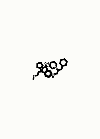 CNCC(CC1CCCCC1)N1CCC[C@@H](C(O)(CCCCOC)c2ccccc2OC2CCCC2)C1